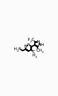 Cc1cc(CN)nnc1-c1c(C(F)(F)F)n[nH]c1C